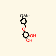 COc1ccc(CO[C@@H]2C=C[C@@H](O)[C@@H](O)C2)cc1